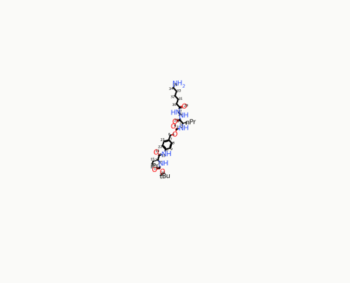 CCC[C@@H](NC(=O)OCc1ccc(NC(=O)[C@H](CC(C)C)NC(=O)OC(C)(C)C)cc1)C(=O)NNC(=O)CCCCCN